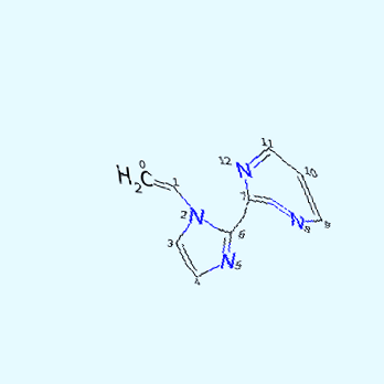 C=Cn1ccnc1-c1ncccn1